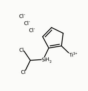 ClC(Cl)[SiH2]C1=[C]([Ti+3])CC=C1.[Cl-].[Cl-].[Cl-]